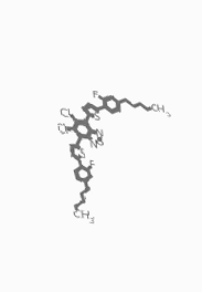 CCCCCc1ccc(-c2ccc(-c3c(Cl)c(Cl)c(-c4ccc(-c5ccc(CCCCC)cc5F)s4)c4nsnc34)s2)c(F)c1